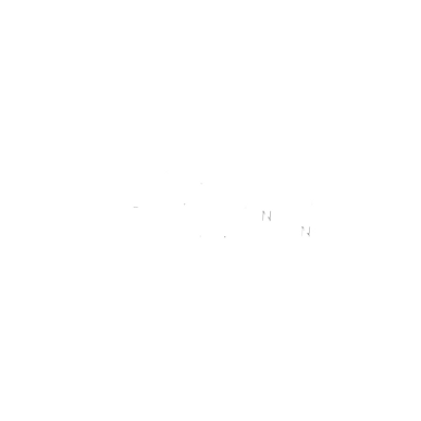 Cc1nccn1-c1ccc(C(F)(F)F)cc1